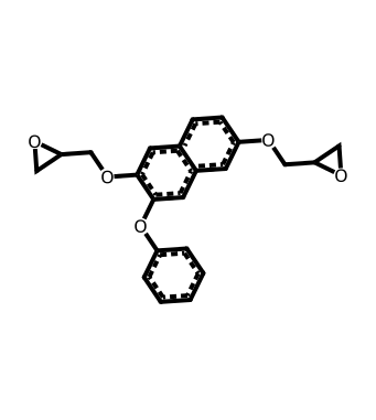 c1ccc(Oc2cc3cc(OCC4CO4)ccc3cc2OCC2CO2)cc1